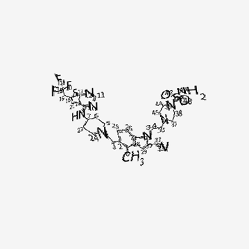 Cc1c(CN2CCC(Nc3ncnc4sc(CC(F)(F)F)cc34)CC2)ccc2c1cc(C#N)n2CCN1CCN(S(N)(=O)=O)CC1